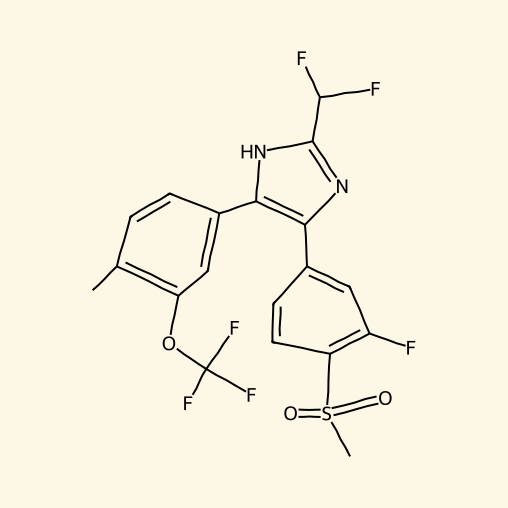 Cc1ccc(-c2[nH]c(C(F)F)nc2-c2ccc(S(C)(=O)=O)c(F)c2)cc1OC(F)(F)F